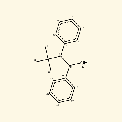 CC(C)(C)C(c1ccccc1)C(O)c1ccccc1